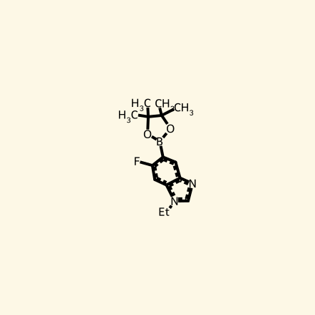 CCn1cnc2cc(B3OC(C)(C)C(C)(C)O3)c(F)cc21